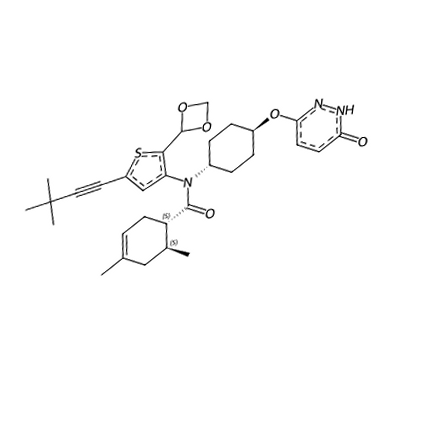 CC1=CC[C@H](C(=O)N(c2cc(C#CC(C)(C)C)sc2C2OCO2)[C@H]2CC[C@H](Oc3ccc(=O)[nH]n3)CC2)[C@@H](C)C1